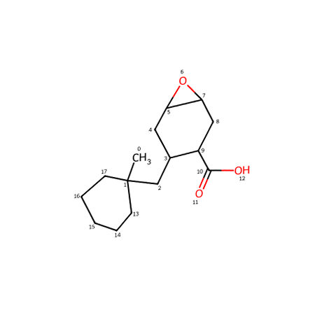 CC1(CC2CC3OC3CC2C(=O)O)CCCCC1